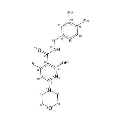 CCCc1nc(N2CCOCC2)cc(C)c1C(=O)NCc1ccc(F)c(F)c1